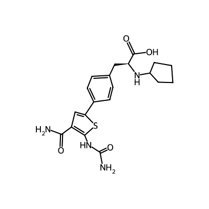 NC(=O)Nc1sc(-c2ccc(C[C@H](NC3CCCC3)C(=O)O)cc2)cc1C(N)=O